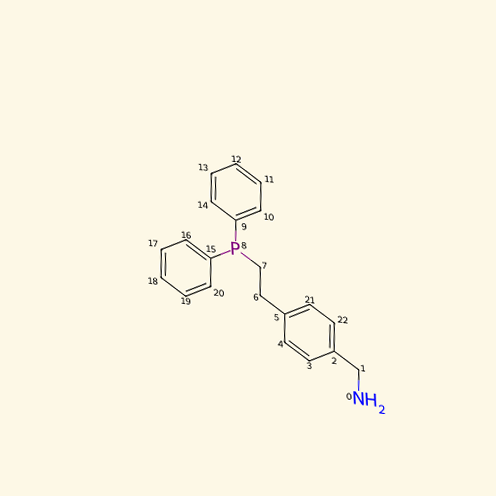 NCc1ccc(CCP(c2ccccc2)c2ccccc2)cc1